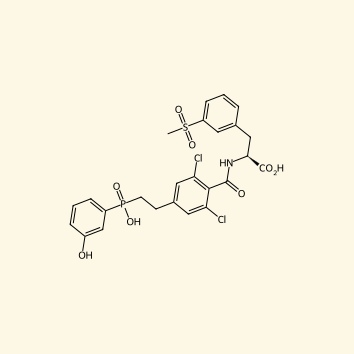 CS(=O)(=O)c1cccc(C[C@H](NC(=O)c2c(Cl)cc(CCP(=O)(O)c3cccc(O)c3)cc2Cl)C(=O)O)c1